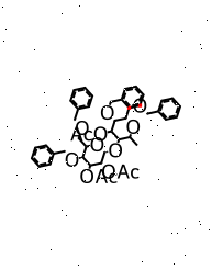 CC(=O)OC1C(OC(C)=O)[C@@H](OCc2ccccc2)C(COCc2ccccc2)O[C@@H]1OC1C(C)OC(COCc2ccccc2)[C@H](OCc2ccccc2)C1OC(C)=O